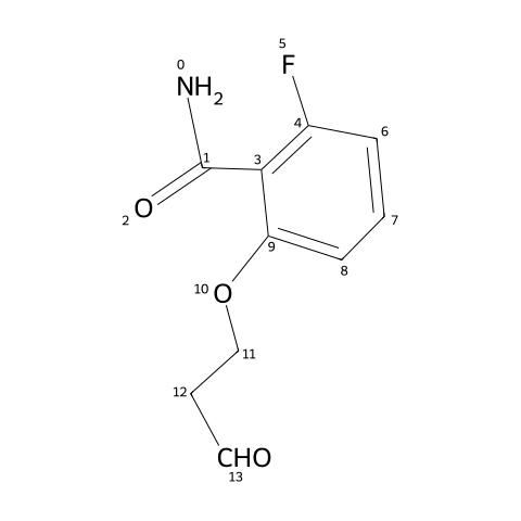 NC(=O)c1c(F)cccc1OCCC=O